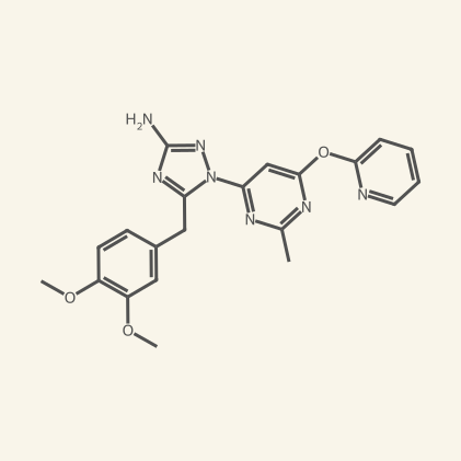 COc1ccc(Cc2nc(N)nn2-c2cc(Oc3ccccn3)nc(C)n2)cc1OC